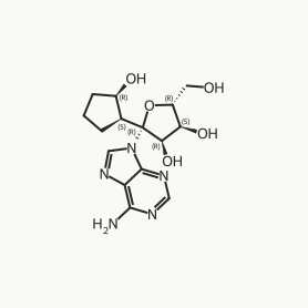 Nc1ncnc2c1ncn2[C@]1([C@H]2CCC[C@H]2O)O[C@H](CO)[C@@H](O)[C@H]1O